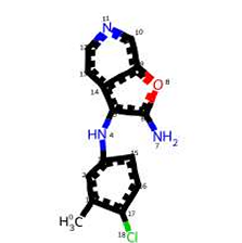 Cc1cc(Nc2c(N)oc3cnccc23)ccc1Cl